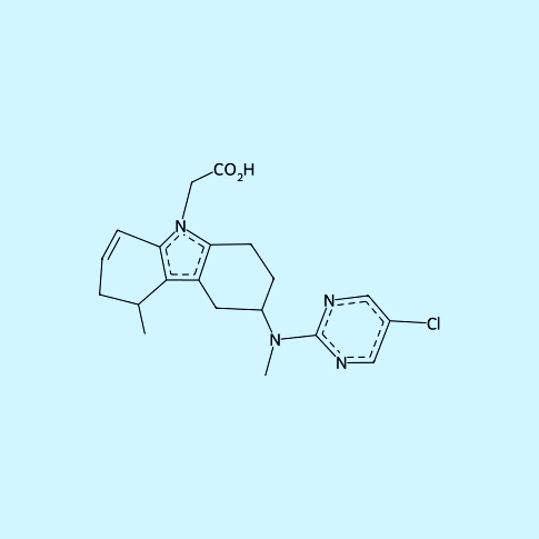 CC1CC=Cc2c1c1c(n2CC(=O)O)CCC(N(C)c2ncc(Cl)cn2)C1